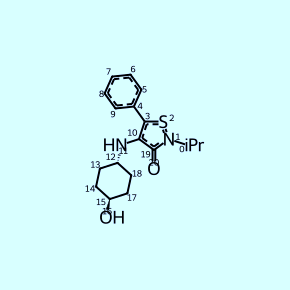 CC(C)n1sc(-c2ccccc2)c(N[C@H]2CC[C@H](O)CC2)c1=O